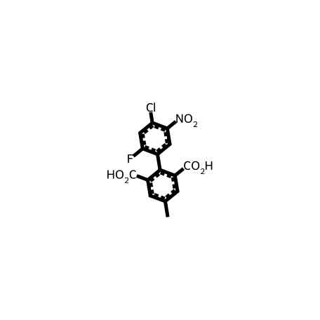 Cc1cc(C(=O)O)c(-c2cc([N+](=O)[O-])c(Cl)cc2F)c(C(=O)O)c1